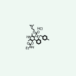 CCNC(=O)OC1=C(C)NC(C)=C(OC(=O)OCCN(C)C)C1c1ccccc1OCc1ccc(C)cc1.Cl